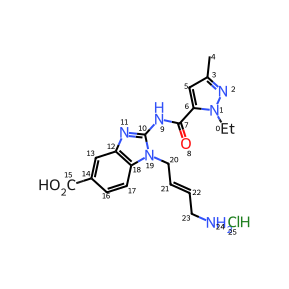 CCn1nc(C)cc1C(=O)Nc1nc2cc(C(=O)O)ccc2n1C/C=C/CN.Cl